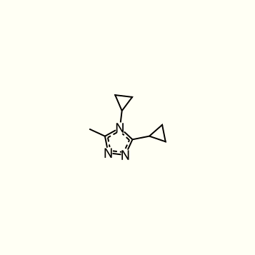 Cc1nnc(C2CC2)n1C1CC1